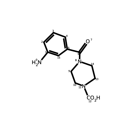 Nc1cccc(C(=O)N2CCN(C(=O)O)CC2)c1